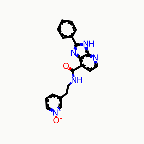 O=C(NCCc1ccc[n+]([O-])c1)c1ccnc2[nH]c(-c3ccccc3)nc12